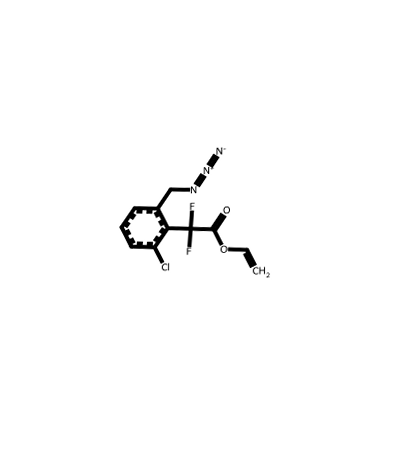 C=COC(=O)C(F)(F)c1c(Cl)cccc1CN=[N+]=[N-]